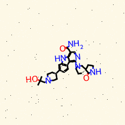 CC(C)(O)CN1CCC(c2ccc3c(c2)[nH]c2c(C(N)=O)cnc(N4CCC[C@@]5(CCNC5=O)C4)c23)CC1